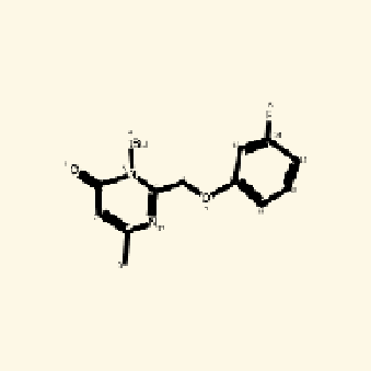 Cc1cc(=O)n(C(C)(C)C)c(COc2cccc(F)c2)n1